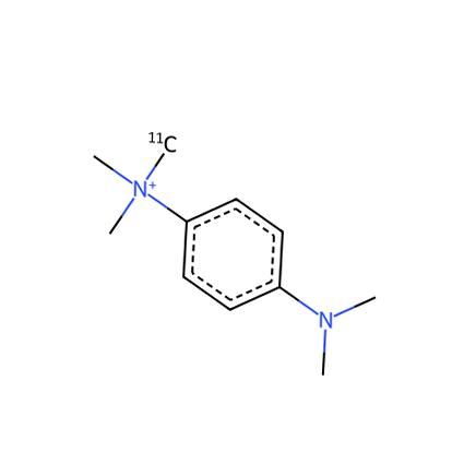 CN(C)c1ccc([N+](C)(C)[11CH3])cc1